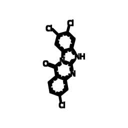 O=c1c2ccc(Cl)cc2nc2[nH]c3cc(Cl)c(Cl)cc3n12